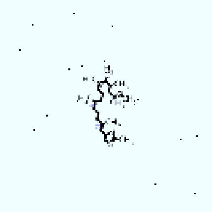 CO[C@@H](C)C[C@H](C)[C@@H](C)[C@@H](C)CCC/C(C)=C\CC/C(C)=C/c1csc(C)n1